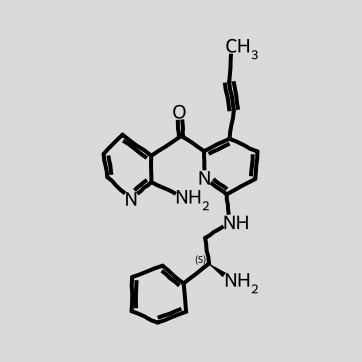 CC#Cc1ccc(NC[C@@H](N)c2ccccc2)nc1C(=O)c1cccnc1N